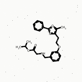 Cc1oc(-c2ccccc2)nc1CCOc1[c]c(CNCC(=O)OC(C)C)ccc1